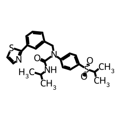 CC(C)NC(=O)N(Cc1cccc(-c2nccs2)c1)c1ccc(S(=O)(=O)C(C)C)cc1